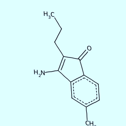 CCCC1=C(N)c2cc(C)ccc2C1=O